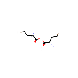 N[C@H](CCS)C(=O)OC(=O)[C@H](N)CCS